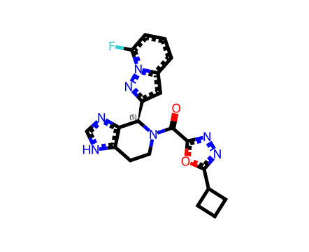 O=C(c1nnc(C2CCC2)o1)N1CCc2[nH]cnc2[C@H]1c1cc2cccc(F)n2n1